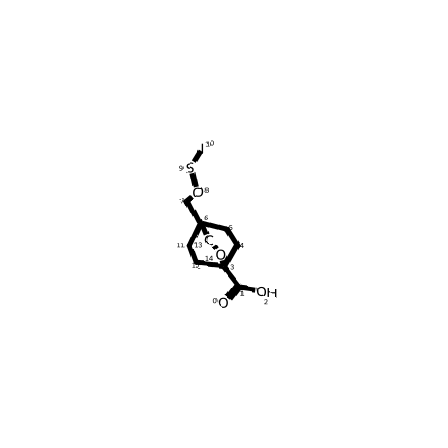 O=C(O)C12CCC(COSI)(CC1)CO2